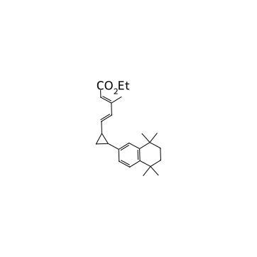 CCOC(=O)C=C(C)C=CC1CC1c1ccc2c(c1)C(C)(C)CCC2(C)C